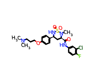 CN(C)CCCOc1ccc([C@@H]2C[C@H](C(=O)Nc3ccc(F)c(Cl)c3)N(C)S(=O)(=O)N2)cc1